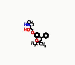 CNCC(O)COc1ccc2c(c1)OC(C)(C)CC2c1ccccc1